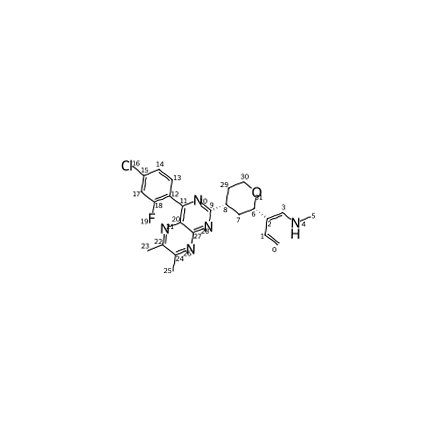 C=C/C(=C\NC)[C@@H]1C[C@H](c2nc(-c3ccc(Cl)cc3F)c3nc(C)c(C)nc3n2)CCO1